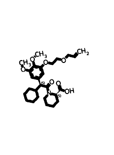 C=CCOCCOc1cc([C@@H](C(=O)N2CCCC[C@H]2C(=O)O)C2CCCCC2)cc(OC)c1OC